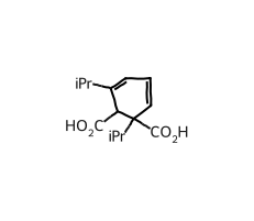 CC(C)C1=CC=CC(C(=O)O)(C(C)C)C1C(=O)O